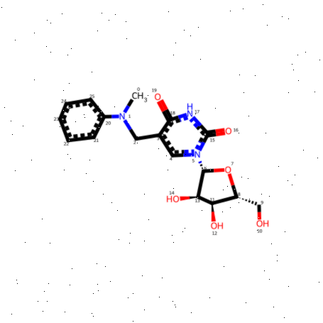 CN(Cc1cn([C@@H]2O[C@H](CO)[C@@H](O)[C@H]2O)c(=O)[nH]c1=O)c1ccccc1